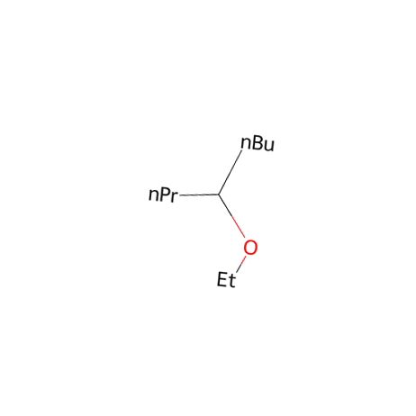 CCCCC(CCC)OCC